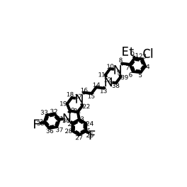 CCc1c(Cl)cccc1CN1CCN(CCCCN2CCC3C(C2)c2cc(F)ccc2N3c2ccc(F)cc2)CC1